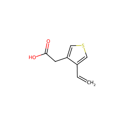 C=Cc1cscc1CC(=O)O